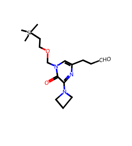 C[Si](C)(C)CCOCn1cc(CCC=O)nc(N2CCC2)c1=O